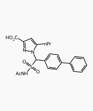 CCCc1cc(C(=O)O)nn1C(c1ccc(-c2ccccc2)cc1)S(=O)(=O)NC(C)=O